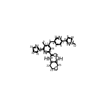 Cc1c(Cc2ccc(-c3ccn(C)n3)nc2)cc(C(=O)N[C@H]2CCOC[C@@H]2O)nc1-n1cccn1